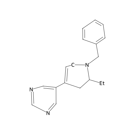 CCC1CC(c2cncnc2)=CCN1Cc1ccccc1